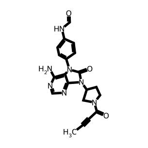 CC#CC(=O)N1CCC(n2c(=O)n(-c3ccc(NC=O)cc3)c3c(N)ncnc32)C1